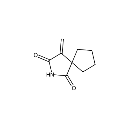 C=C1C(=O)NC(=O)C12CCCC2